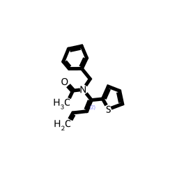 C=C/C=C(/c1cccs1)N(Cc1ccccc1)C(C)=O